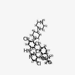 CN1CCN(C2CCN(c3cc(Cl)c(Nc4ncc(Cl)c(Nc5cc(Cl)ccc5N(C)S(C)(=O)=O)n4)cc3Cl)CC2)CC1